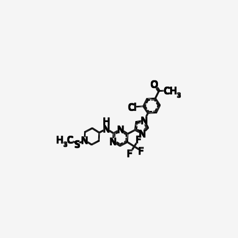 CSN1CCC(Nc2ncc(C(F)(F)F)c(-c3cn(-c4ccc(C(C)=O)cc4Cl)cn3)n2)CC1